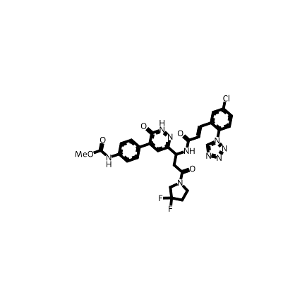 COC(=O)Nc1ccc(-c2cc(C(CC(=O)N3CCC(F)(F)C3)NC(=O)C=Cc3cc(Cl)ccc3-n3cnnn3)n[nH]c2=O)cc1